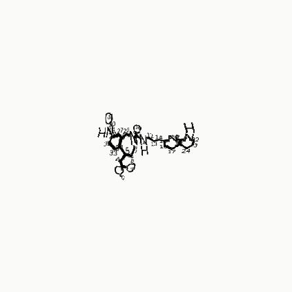 COC(=O)CC1CCN(C(=O)NCCCc2ccc3c(n2)NCCC3)Cc2cc(NC=O)ccc21